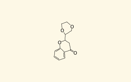 O=C1CC(C2COCCO2)Oc2ccccc21